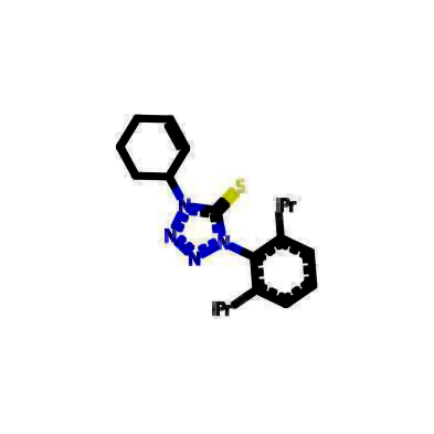 CC(C)c1cccc(C(C)C)c1-n1nnn(C2C=CCCC2)c1=S